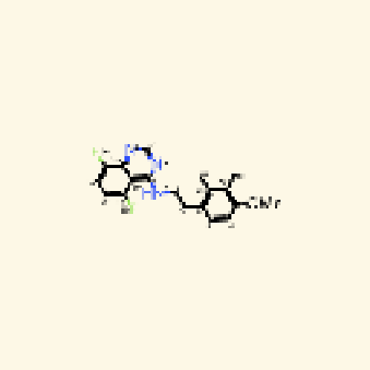 COc1ccc(CCNc2ncnc3c(F)ccc(F)c23)c(C)c1C